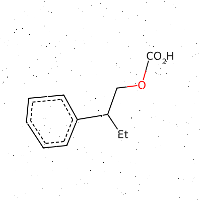 CCC(COC(=O)O)c1ccccc1